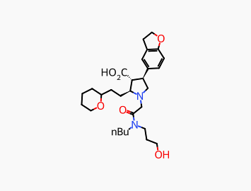 CCCCN(CCCO)C(=O)CN1C[C@H](c2ccc3c(c2)CCO3)[C@@H](C(=O)O)[C@@H]1CCC1CCCCO1